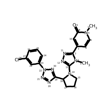 Cn1c(-c2ccn(C)c(=O)c2)nnc1N1CCCC1c1nnn(-c2cccc(Cl)c2)n1